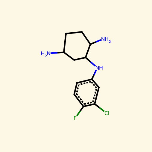 NC1CCC(N)C(Nc2ccc(F)c(Cl)c2)C1